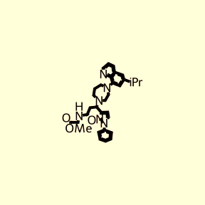 COC(=O)CNC(=O)CC(c1ccn(-c2ccccc2)n1)N1CCCN(c2cc(C(C)C)cc3cccnc23)CC1